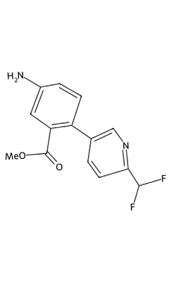 COC(=O)c1cc(N)ccc1-c1ccc(C(F)F)nc1